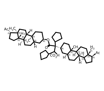 CC(=O)[C@H]1CC[C@H]2[C@@H]3CC[C@H]4C[C@H](OC(=O)C(C5CCCC5)(C(C(=O)O)C5CCCC5)[C@@H]5CC[C@@]6(C)[C@@H](CC[C@@H]7[C@@H]6CC[C@]6(C)[C@@H](C(C)=O)CC[C@@H]76)C5)CC[C@]4(C)[C@H]3CC[C@]12C